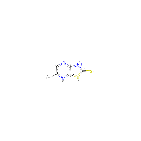 CCc1cnc2[nH]c(=S)sc2n1